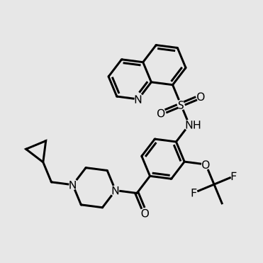 CC(F)(F)Oc1cc(C(=O)N2CCN(CC3CC3)CC2)ccc1NS(=O)(=O)c1cccc2cccnc12